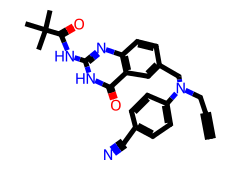 C#CCN(Cc1ccc2nc(NC(=O)C(C)(C)C)[nH]c(=O)c2c1)c1ccc(C#N)cc1